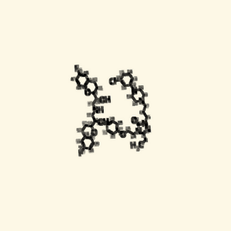 CCc1nn(CCCN2CCN(c3cccc(Cl)c3)CC2)c(=O)n1CCOc1ccccc1.OC(CNCC(O)C1CCc2cc(F)ccc2O1)C1CCc2cc(F)ccc2O1